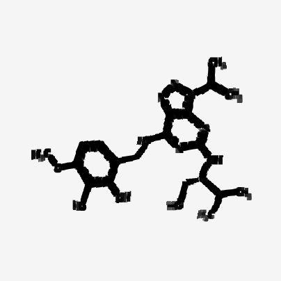 COc1ccc(CNc2nc(N[C@@H](CO)C(C)C)nc3c2nnn3C(C)C)c(O)c1O